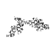 CONC(=O)CN(CCCNC(=O)CN(CCCNC(=O)c1ccc(B(O)O)c(F)c1F)C(=O)c1ccc(B(O)O)c(F)c1F)C(=O)CN(CCCNC(=O)c1ccc(BO)c(F)c1F)C(=O)c1ccc(C)c(F)c1F